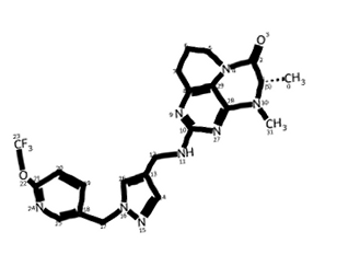 C[C@H]1C(=O)N2CCCc3nc(NCc4cnn(Cc5ccc(OC(F)(F)F)nc5)c4)nc(c32)N1C